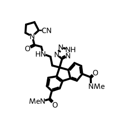 CNC(=O)c1ccc2c(c1)-c1cc(C(=O)NC)ccc1C2(CCNCC(=O)N1CCC[C@H]1C#N)c1nn[nH]n1